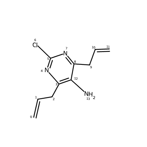 C=CCc1nc(Cl)nc(CC=C)c1N